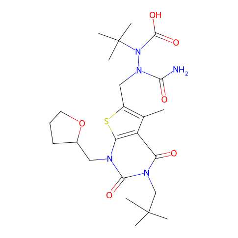 Cc1c(CN(C(N)=O)N(C(=O)O)C(C)(C)C)sc2c1c(=O)n(CC(C)(C)C)c(=O)n2CC1CCCO1